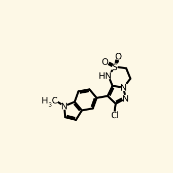 Cn1ccc2cc(-c3c(Cl)nn4c3NS(=O)(=O)CC4)ccc21